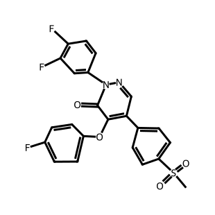 CS(=O)(=O)c1ccc(-c2cnn(-c3ccc(F)c(F)c3)c(=O)c2Oc2ccc(F)cc2)cc1